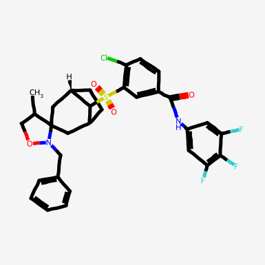 CC1CON(Cc2ccccc2)C12CC1CC[C@@H](C2)C1S(=O)(=O)c1cc(C(=O)Nc2cc(F)c(F)c(F)c2)ccc1Cl